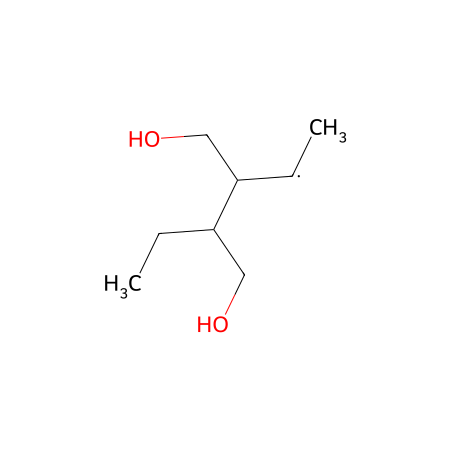 C[CH]C(CO)C(CC)CO